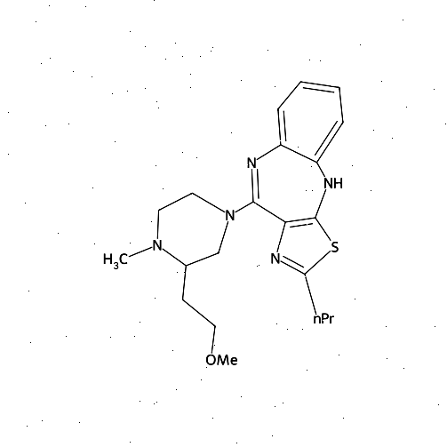 CCCc1nc2c(s1)Nc1ccccc1N=C2N1CCN(C)C(CCOC)C1